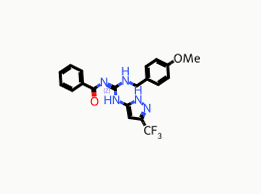 COc1ccc(CN/C(=N/C(=O)c2ccccc2)Nc2cc(C(F)(F)F)n[nH]2)cc1